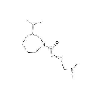 CC(C)C1CCCCN(C(=O)/C=C/CN(C)C)C1